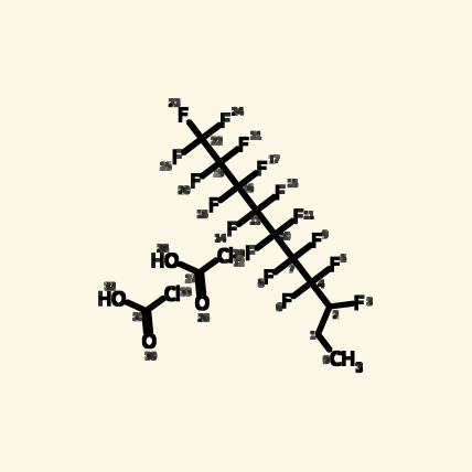 CCC(F)C(F)(F)C(F)(F)C(F)(F)C(F)(F)C(F)(F)C(F)(F)C(F)(F)F.O=C(O)Cl.O=C(O)Cl